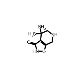 BC1(B)CNCc2o[nH]c(=O)c21